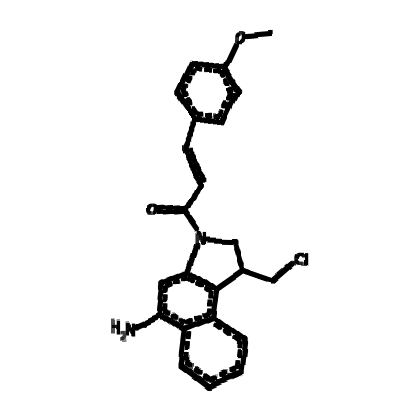 COc1ccc(/C=C/C(=O)N2CC(CCl)c3c2cc(N)c2ccccc32)cc1